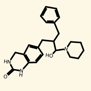 O=C1NCc2cc(CC(Cc3ccccc3)C(O)N3CCCCC3)ccc2N1